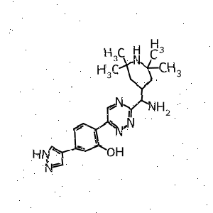 CC1(C)CC(C(N)c2ncc(-c3ccc(-c4cn[nH]c4)cc3O)nn2)CC(C)(C)N1